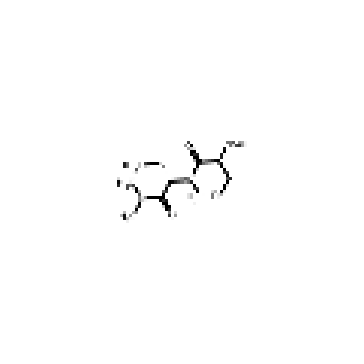 CN[C@@H](CC(C)C)C(=O)N(C)[C@@H](CC(=O)O)C(=O)N(C)C